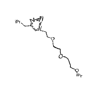 CC(C)Cc1cn(CCOCCOCCOC(C)C)nn1